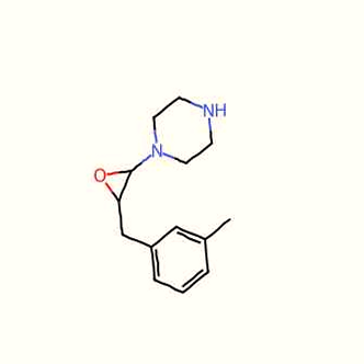 Cc1cccc(CC2OC2N2CCNCC2)c1